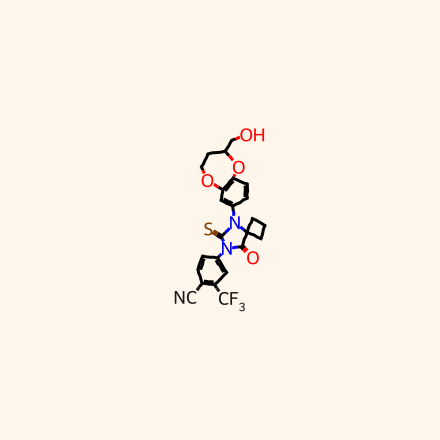 N#Cc1ccc(N2C(=O)C3(CCC3)N(c3ccc4c(c3)OCCC(CO)O4)C2=S)cc1C(F)(F)F